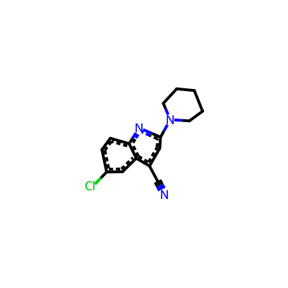 N#Cc1cc(N2CCCCC2)nc2ccc(Cl)cc12